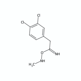 CNOC(=N)Cc1ccc(Cl)c(Cl)c1